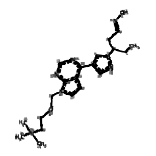 CCC(CC=NO)n1cc(-c2ncnc3c2ccn3COCC[Si](C)(C)C)cn1